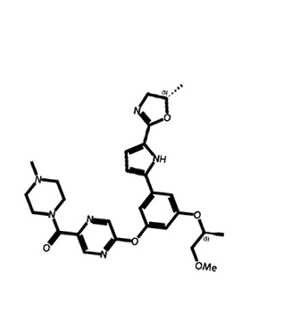 COC[C@H](C)Oc1cc(Oc2cnc(C(=O)N3CCN(C)CC3)cn2)cc(-c2ccc(C3=NC[C@H](C)O3)[nH]2)c1